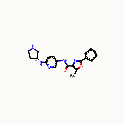 O=C(Nc1ccc(N[C@@H]2CCNC2)nc1)c1nc(-c2ccccc2)oc1C(F)(F)F